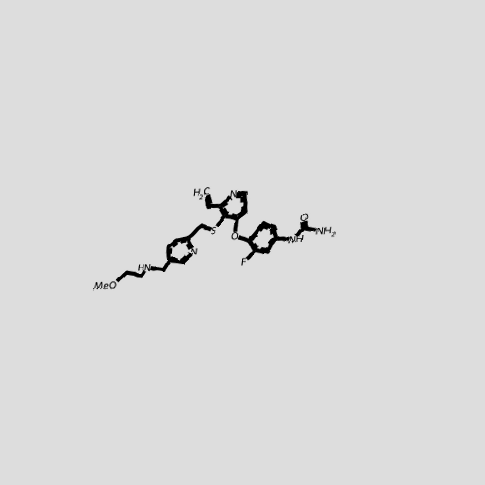 C=Cc1nccc(Oc2ccc(NC(N)=O)cc2F)c1SCc1ccc(CNCCOC)cn1